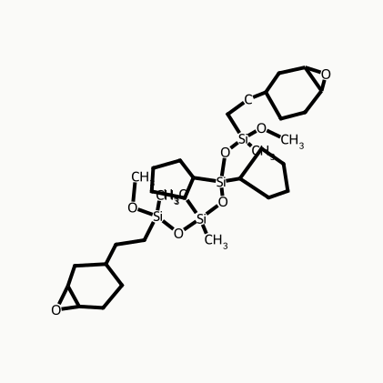 CO[Si](C)(CCC1CCC2OC2C1)O[Si](C)(C)O[Si](O[Si](C)(CCC1CCC2OC2C1)OC)(C1CCCC1)C1CCCC1